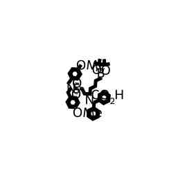 COc1ccc(CN(Cc2ccc(OC)cc2)S(=O)(=O)CCC(CCCCB2OC(C)(C)C(C)(C)O2)(N=C(c2ccccc2)c2ccccc2)C(=O)O)cc1